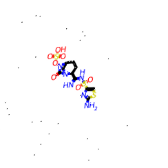 N=C(NS(=O)(=O)c1csc(N)n1)C1CCC2CN1C(=O)N2OS(=O)(=O)O